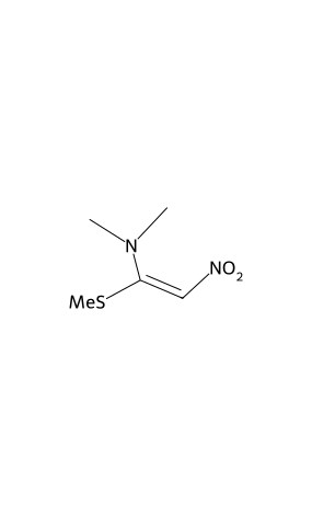 CSC(=C[N+](=O)[O-])N(C)C